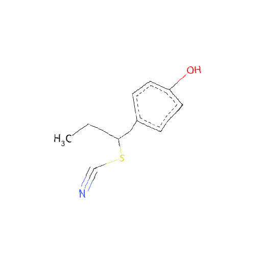 CCC(SC#N)c1ccc(O)cc1